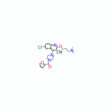 CN(C)CCCOc1nc2ccc(Cl)cc2c(N2CCN(C(=O)c3ccco3)CC2)c1C#N